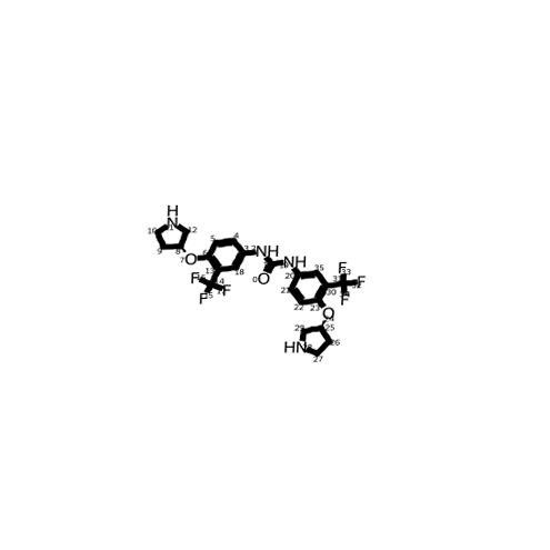 O=C(Nc1ccc(O[C@@H]2CCNC2)c(C(F)(F)F)c1)Nc1ccc(O[C@@H]2CCNC2)c(C(F)(F)F)c1